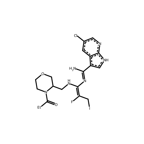 CCC(=O)N1CCOCC1CNC(/N=C(\N)c1c[nH]c2ncc(Cl)cc12)=C(\F)CI